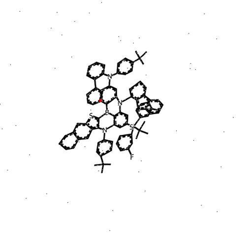 CC(C)(C)c1ccc(N(c2ccc3c(c2)N(c2cccc4c2oc2ccccc24)c2cc([Si](c4cccc(F)c4)(c4cccc(F)c4)C(C)(C)C)cc4c2B3c2sc3cc5ccccc5cc3c2N4c2ccc(C(C)(C)C)cc2)c2ccccc2-c2ccccc2)cc1